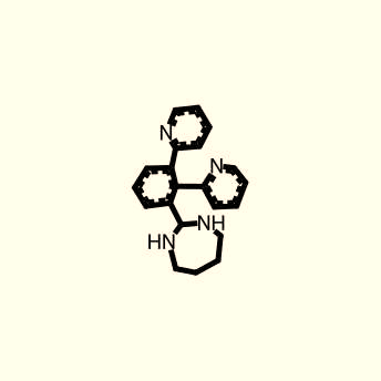 c1ccc(-c2cccc(C3NCCCCN3)c2-c2ccccn2)nc1